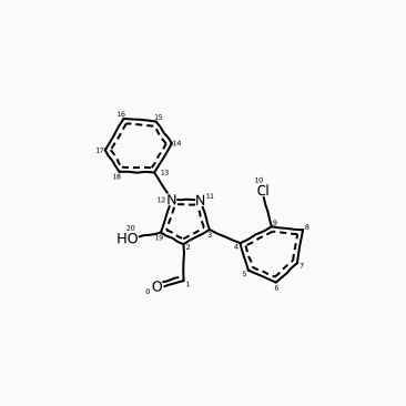 O=Cc1c(-c2ccccc2Cl)nn(-c2ccccc2)c1O